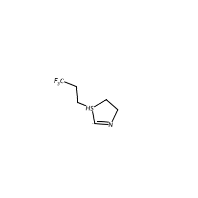 FC(F)(F)CC[SH]1[C]=NCC1